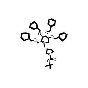 CC(C)(C)OC(=O)N1CC[C@@H](CN2C[C@H](OCc3ccccc3)[C@@H](OCc3ccccc3)[C@H](OCc3ccccc3)[C@@H]2COCc2ccccc2)C1